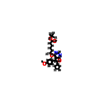 COc1ccc(-c2c(C3CCCC3)oc3ncnc(O[C@H](C)CCCCC(=O)OC(C)(C)C)c23)cc1